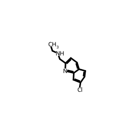 CCNCc1ccc2ccc(Cl)cc2n1